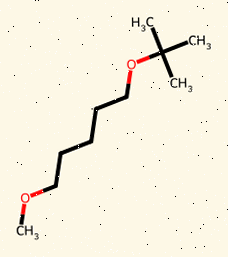 COCCC[CH]COC(C)(C)C